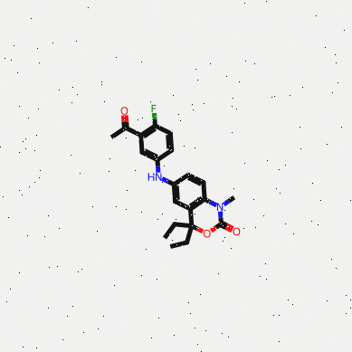 CCC1(CC)OC(=O)N(C)c2ccc(Nc3ccc(F)c(C(C)=O)c3)cc21